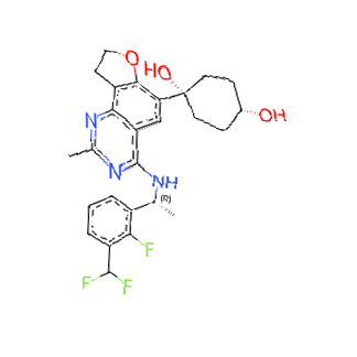 Cc1nc(N[C@H](C)c2cccc(C(F)F)c2F)c2cc([C@]3(O)CC[C@@H](O)CC3)c3c(c2n1)CCO3